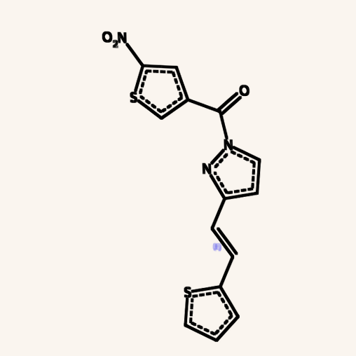 O=C(c1csc([N+](=O)[O-])c1)n1ccc(/C=C/c2cccs2)n1